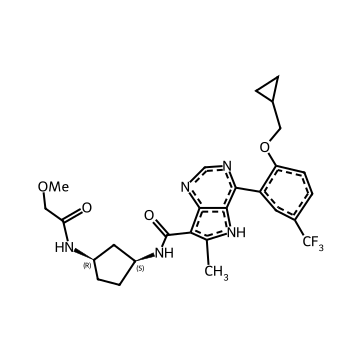 COCC(=O)N[C@@H]1CC[C@H](NC(=O)c2c(C)[nH]c3c(-c4cc(C(F)(F)F)ccc4OCC4CC4)ncnc23)C1